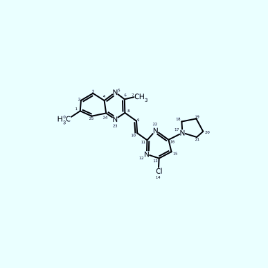 Cc1ccc2nc(C)c(/C=C/c3nc(Cl)cc(N4CCCC4)n3)nc2c1